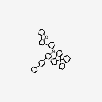 c1ccc(-c2ccc(-c3ccc(N(c4cccc(-c5cccc6c5oc5ccccc56)c4)c4cccc5c4-c4ccccc4C5(c4ccccc4)c4ccccc4)cc3)cc2)cc1